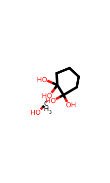 CO.OC1(O)CCCCC1(O)O